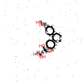 C1CCCCCCCCC1.C1CCCCCCCCC1.C1CCCCCCCCC1.CC(C)(CO)CO.CO.CO.O=C(O)O